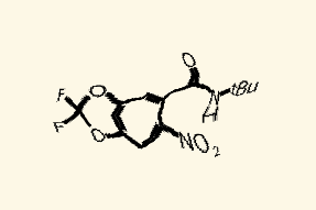 CC(C)(C)NC(=O)c1cc2c(cc1[N+](=O)[O-])OC(F)(F)O2